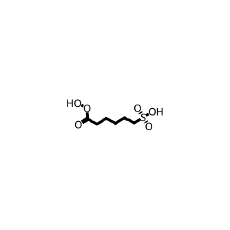 O=C(CCCCCS(=O)(=O)O)OO